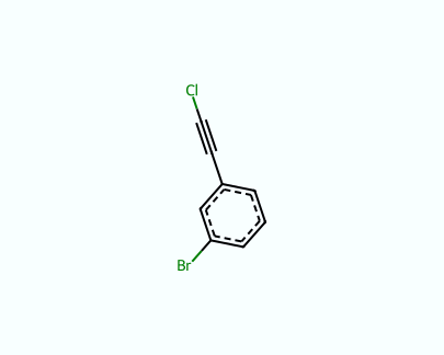 ClC#Cc1cccc(Br)c1